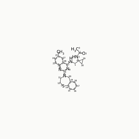 CC(=O)NC1(CNc2nc(N3CCSc4ccccc4C3)nc3ccc(C)cc23)CC1